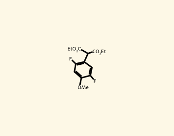 CCOC(=O)C(C(=O)OCC)c1cc(F)c(OC)cc1F